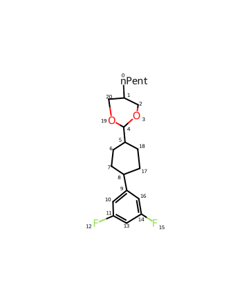 CCCCCC1COC(C2CCC(c3cc(F)cc(F)c3)CC2)OC1